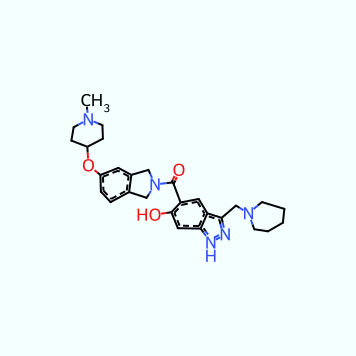 CN1CCC(Oc2ccc3c(c2)CN(C(=O)c2cc4c(CN5CCCCC5)n[nH]c4cc2O)C3)CC1